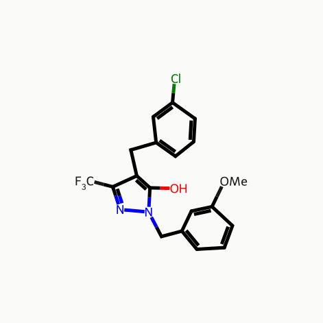 COc1cccc(Cn2nc(C(F)(F)F)c(Cc3cccc(Cl)c3)c2O)c1